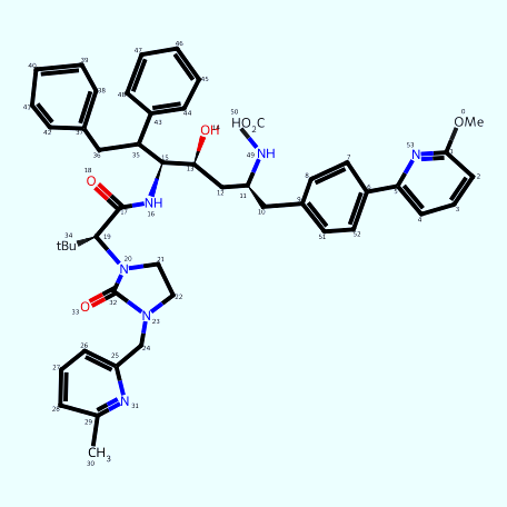 COc1cccc(-c2ccc(C[C@@H](C[C@H](O)[C@@H](NC(=O)[C@@H](N3CCN(Cc4cccc(C)n4)C3=O)C(C)(C)C)C(Cc3ccccc3)c3ccccc3)NC(=O)O)cc2)n1